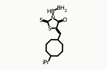 BBN1C(=O)/C(=C/C2CCCC(C(C)C)CCC2)SC1=S